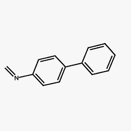 C=Nc1ccc(-c2ccccc2)cc1